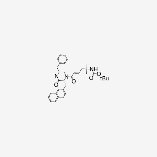 CN(CCc1ccccc1)C(=O)[C@@H](Cc1ccc2ccccc2c1)N(C)C(=O)C=CCC(C)(C)NC(=O)OC(C)(C)C